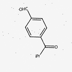 CC(C)C(=O)c1ccc([C]=O)cc1